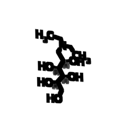 CCN(CC)C[C@H](O)[C@@H](O)[C@H](O)[C@H](O)CO